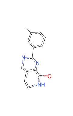 Cc1cccc(-c2ncc3cc[nH]c(=O)c3n2)c1